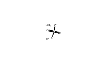 O=S(=O)([O-])[O-].[BiH3].[H+]